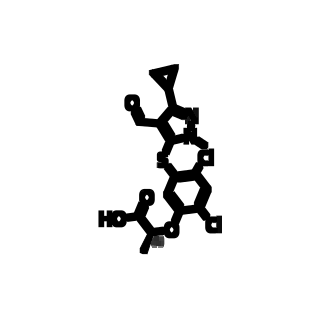 C[C@H](Oc1cc(Sc2c(C=O)c(C3CC3)nn2C)c(Cl)cc1Cl)C(=O)O